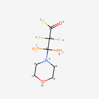 O=C(F)C(F)(F)C(P)(P)N1CCOCC1